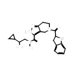 CN(CC(O)C1CC1)C(=O)c1[nH]nc2c1CN(C(=O)C1Cc3ccccc3N1)CC2